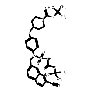 CC(C)(C)OC(=O)NS(=O)(=O)N(Cc1ccc2ccc(C#N)cc2c1)c1ccc(OC2CCN(C(=O)OC(C)(C)C)CC2)cc1